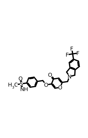 CS(=N)(=O)c1ccc(COc2coc(CN3Cc4ccc(C(F)(F)F)cc4C3)cc2=O)cc1